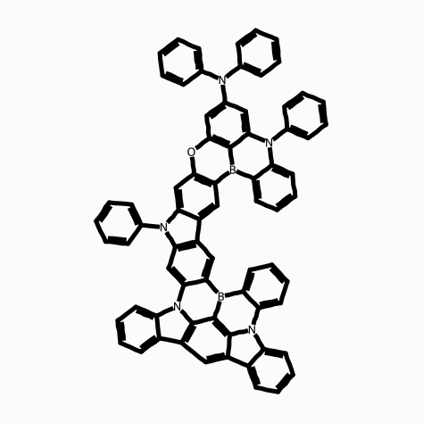 c1ccc(N(c2ccccc2)c2cc3c4c(c2)N(c2ccccc2)c2ccccc2B4c2cc4c5cc6c(cc5n(-c5ccccc5)c4cc2O3)-n2c3ccccc3c3cc4c5ccccc5n5c4c(c32)B6c2ccccc2-5)cc1